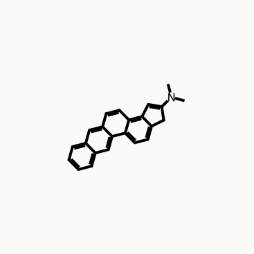 CN(C)C1=Cc2c(ccc3c2ccc2cc4ccccc4cc23)C1